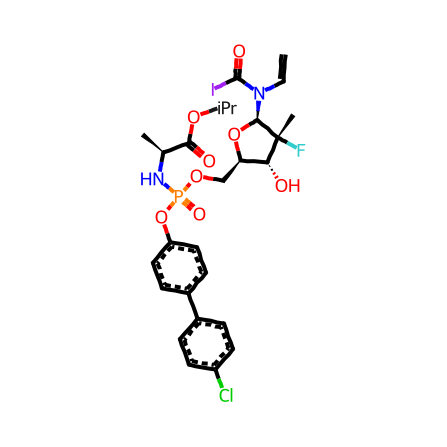 C=CN(C(=O)I)[C@@H]1O[C@H](COP(=O)(N[C@@H](C)C(=O)OC(C)C)Oc2ccc(-c3ccc(Cl)cc3)cc2)[C@@H](O)[C@@]1(C)F